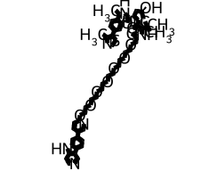 Cc1ncsc1-c1ccc(C(C)NC(=O)[C@@H]2C[C@@H](O)CN2C(=O)C(NC(=O)COCCOCCOCCOCCOCCOCCOc2ccc(-c3ccc4c(c3)[nH]c3ccncc34)cn2)C(C)(C)C)cc1